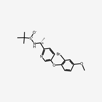 COc1ccc(Oc2ccc([C@@H](C)N[S+]([O-])C(C)(C)C)nc2)c(Br)c1